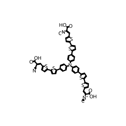 [C-]#[N+]/C(=C\c1ccc(-c2ccc(-c3ccc(N(c4ccc(-c5ccc(-c6ccc(/C=C(\C#N)C(=O)O)s6)s5)cc4)c4ccc(-c5ccc(-c6ccc(/C=C(/[N+]#[C-])C(=O)O)s6)s5)cc4)cc3)s2)s1)C(=O)O